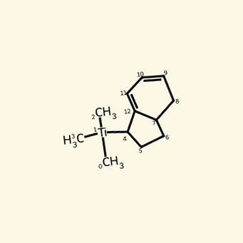 [CH3][Ti]([CH3])([CH3])[CH]1CCC2CC=CC=C21